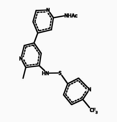 CC(=O)Nc1cc(-c2cnc(C)c(NSc3ccc(C(F)(F)F)nc3)c2)ccn1